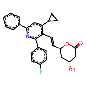 O=C1C[C@H](O)C[C@@H](/C=C/c2c(C3CC3)cc(-c3ccccc3)nc2-c2ccc(F)cc2)O1